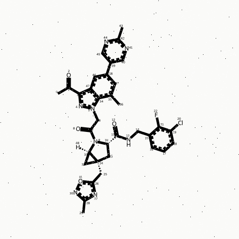 CC(=O)c1nn(CC(=O)N2[C@H](C(=O)NCc3cccc(Cl)c3F)C[C@@]3(Cc4nc(C)no4)C[C@@H]23)c2c(C)cc(-c3cnc(C)nc3)cc12